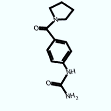 NC(=O)Nc1ccc(C(=O)N2CCCC2)cc1